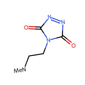 CNCCN1C(=O)N=NC1=O